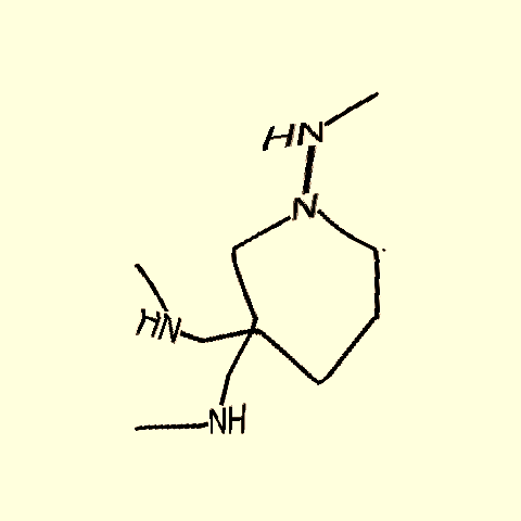 CNN1[CH]CCC(NC)(NC)C1